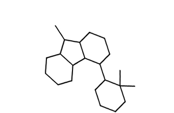 CC1C2CCCCC2C2C1CCCC2C1CCCCC1(C)C